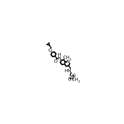 Cc1c(NC(=O)c2ccc(OCC3CC3)cc2)ccc2cc(CNCCS(C)(=O)=O)cnc12